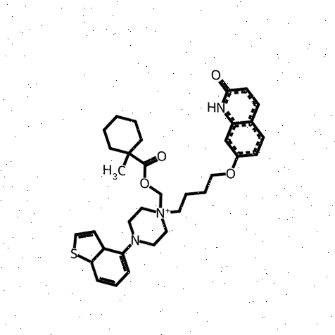 CC1(C(=O)OC[N+]2(CCCCOc3ccc4ccc(=O)[nH]c4c3)CCN(C3=CC=CC4SC=CC34)CC2)CCCCC1